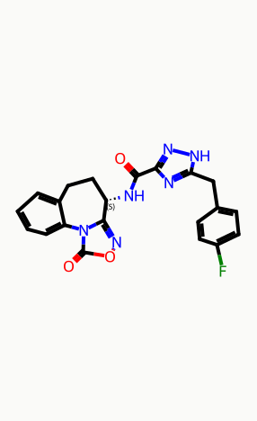 O=C(N[C@H]1CCc2ccccc2-n2c1noc2=O)c1n[nH]c(Cc2ccc(F)cc2)n1